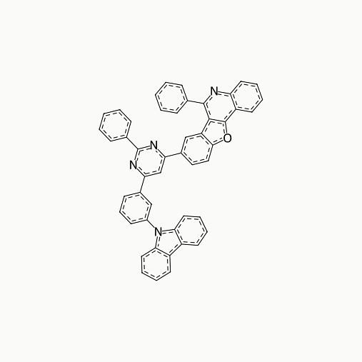 c1ccc(-c2nc(-c3cccc(-n4c5ccccc5c5ccccc54)c3)cc(-c3ccc4oc5c6ccccc6nc(-c6ccccc6)c5c4c3)n2)cc1